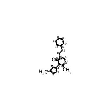 Cc1ccc(-c2c(C)ncn(CCc3ccccc3)c2=O)s1